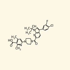 Cc1cc(N2CCN(C(=O)c3ccc4c(-c5ccc(Cl)c(F)c5)cn(C(C)(C)C)c4n3)CC2)nc(C)c1C(=O)O